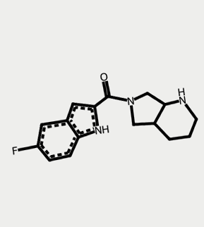 O=C(c1cc2cc(F)ccc2[nH]1)N1CC2CCCNC2C1